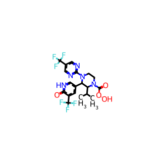 CC(C)C1C(c2c[nH]c(=O)c(C(F)(F)F)c2)N(c2ncc(C(F)(F)F)cn2)CCN1C(=O)OO